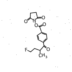 CC(CCF)C(=O)c1ccc(C(=O)ON2C(=O)CCC2=O)cc1